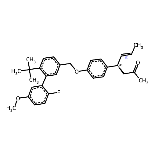 C/C=C/[C@@H](CC(C)=O)c1ccc(OCc2ccc(C(C)(C)C)c(-c3cc(OC)ccc3F)c2)cc1